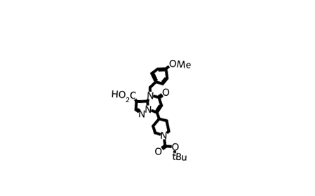 COc1ccc(CN2C(=O)C=C(C3CCN(C(=O)OC(C)(C)C)CC3)N3N=CC(C(=O)O)C23)cc1